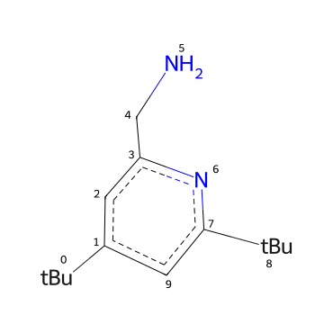 CC(C)(C)c1cc(CN)nc(C(C)(C)C)c1